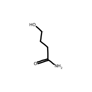 NC(=O)CC[CH]O